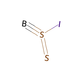 B#S(=S)I